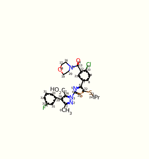 Cc1nn(-c2nc(-c3ccc(Cl)c(C(=O)N4CCOCC4)c3)c(SC(C)C)s2)c(C(=O)O)c1-c1cccc(F)c1